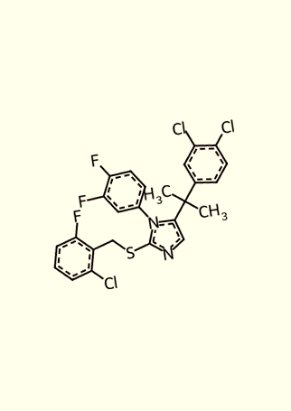 CC(C)(c1ccc(Cl)c(Cl)c1)c1cnc(SCc2c(F)cccc2Cl)n1-c1ccc(F)c(F)c1